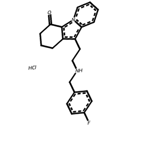 Cl.O=C1CCCc2c(CCNCc3ccc(F)cc3)c3ccccn3c21